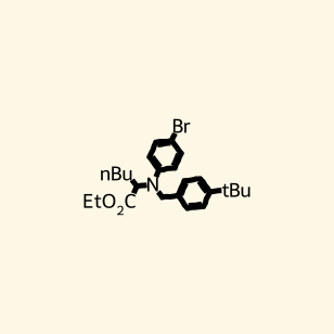 CCCCC(C(=O)OCC)N(Cc1ccc(C(C)(C)C)cc1)c1ccc(Br)cc1